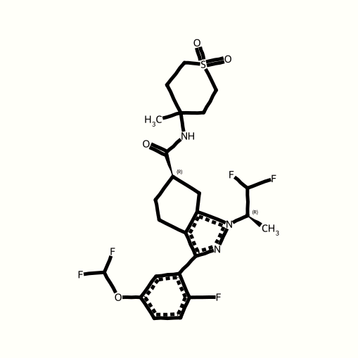 C[C@H](C(F)F)n1nc(-c2cc(OC(F)F)ccc2F)c2c1C[C@H](C(=O)NC1(C)CCS(=O)(=O)CC1)CC2